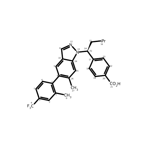 Cc1cc(C(F)(F)F)ccc1-c1cc2cnn([C@@H](CC(C)C)c3ccc(C(=O)O)cc3)c2cc1C